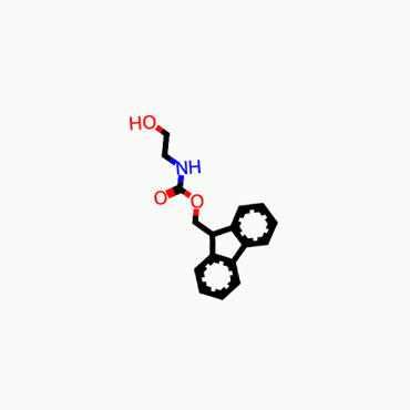 O=C(NCCO)OCC1c2ccccc2-c2ccccc21